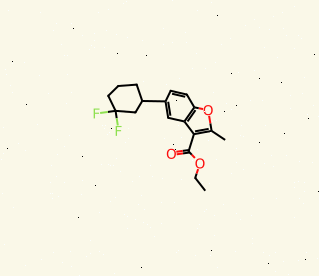 CCOC(=O)c1c(C)oc2ccc(C3CCCC(F)(F)C3)cc12